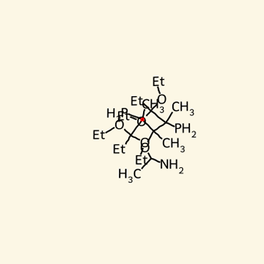 CCOC(CC)(OCC)C(C)(P)C(C)(OC(C)N)C(C)(P)C(CC)(OCC)OCC